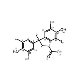 Cc1cc(C(C)(CCC(=O)O)c2cc(I)c(O)c(I)c2)cc(I)c1O